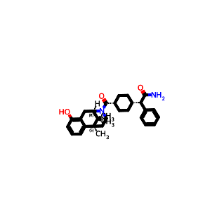 CC1(C)[C@H]2Cc3c(O)cccc3[C@]1(C)CCN2C(=O)[C@H]1CC[C@@H](C(C(N)=O)c2ccccc2)CC1